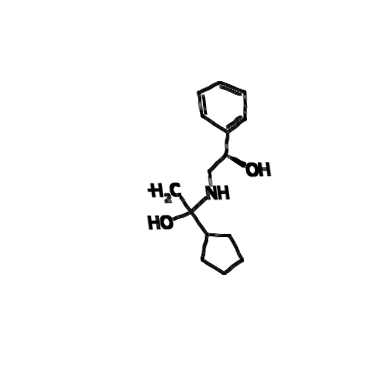 [CH2]C(O)(NC[C@H](O)c1ccccc1)C1CCCC1